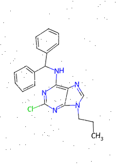 CCCn1cnc2c(NC(c3ccccc3)c3ccccc3)nc(Cl)nc21